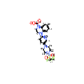 O=C(O)N1CCN(c2ccc(N3CCN(S(=O)(=O)C(F)(F)F)CC3)cn2)c2ccccc21